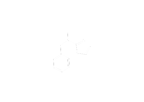 CN(Cc1ccccc1)c1ncc[nH]1